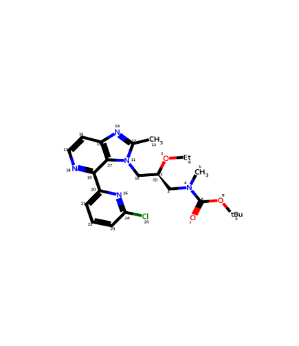 CCO[C@@H](CN(C)C(=O)OC(C)(C)C)Cn1c(C)nc2ccnc(-c3cccc(Cl)n3)c21